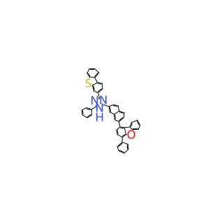 c1ccc(-c2ccc(-c3ccc4ccc(C5=NC(c6ccc7c(c6)sc6ccccc67)=NC(c6ccccc6)N5)cc4c3)c3c2oc2ccccc23)cc1